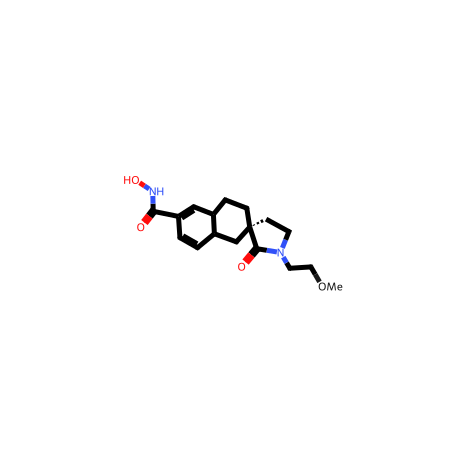 COCCN1CC[C@]2(CCC3C=C(C(=O)NO)C=CC3C2)C1=O